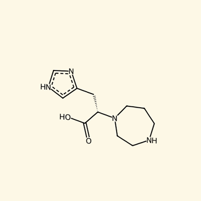 O=C(O)[C@H](Cc1c[nH]cn1)N1CCCNCC1